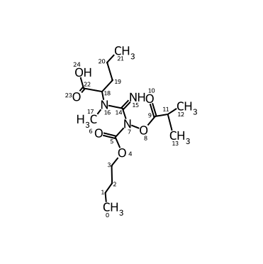 CCCCOC(=O)N(OC(=O)C(C)C)C(=N)N(C)C(CCC)C(=O)O